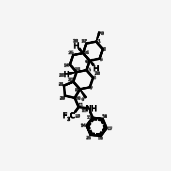 C[C@H]1CC[C@@H]2C3CC[C@]4(C)C(C(Nc5ccccc5)C(F)(F)F)CCC4[C@@H]3CC[C@@H]2C1